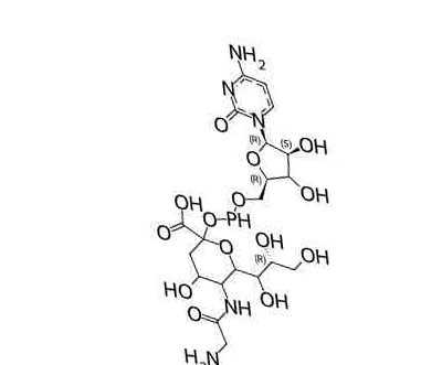 NCC(=O)NC1C(O)CC(OPOC[C@H]2O[C@@H](n3ccc(N)nc3=O)[C@@H](O)C2O)(C(=O)O)OC1C(O)[C@H](O)CO